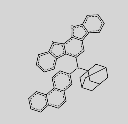 c1ccc2c(c1)ccc1cc(N(c3cc4c5ccccc5oc4c4sc5ccccc5c34)C34CC5CC(CC(C5)C3)C4)ccc12